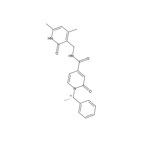 Cc1cc(C)c(CNC(=O)c2ccn([C@@H](C)c3ccccc3)c(=O)c2)c(=O)[nH]1